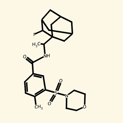 Cc1ccc(C(=O)NC(C)C23CC4CC(CC(C4)C2I)C3)cc1S(=O)(=O)N1CCOCC1